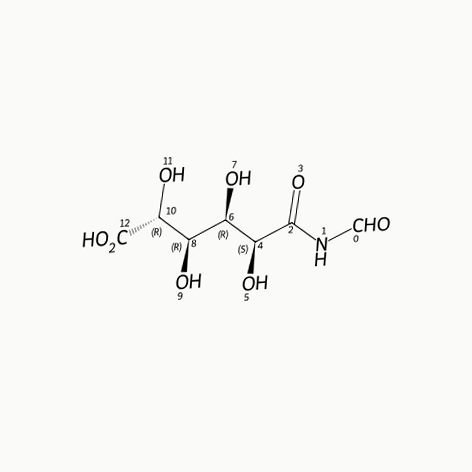 O=CNC(=O)[C@@H](O)[C@H](O)[C@@H](O)[C@@H](O)C(=O)O